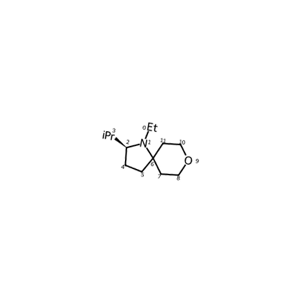 CCN1[C@H](C(C)C)CCC12CCOCC2